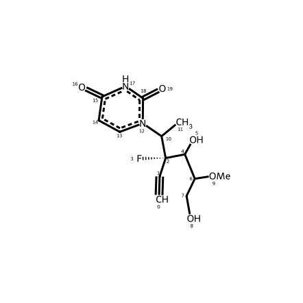 C#C[C@](F)(C(O)C(CO)OC)C(C)n1ccc(=O)[nH]c1=O